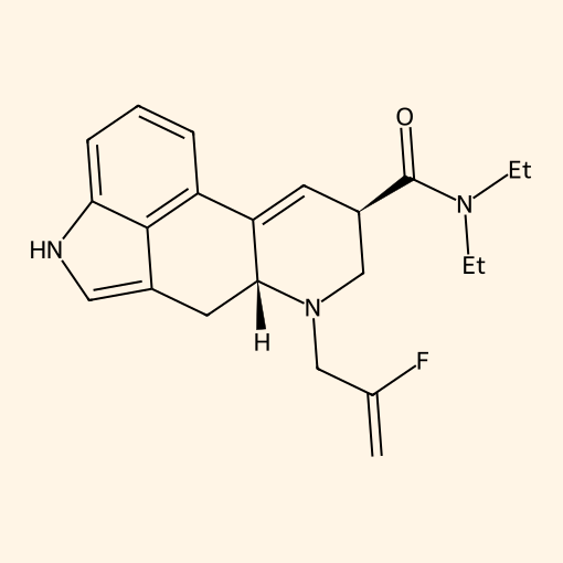 C=C(F)CN1C[C@H](C(=O)N(CC)CC)C=C2c3cccc4[nH]cc(c34)C[C@H]21